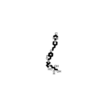 O=C(Cc1ccc(OCCCC2CCN(c3ncc(Cl)cn3)CC2)cc1F)N1CC2(CCN2C[C@H](O)[C@H](O)[C@H](O)CO)C1